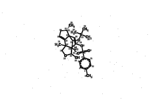 Cc1ccc(S(=O)(=O)OC2=CC34C(=CC[C@@H]3C)C3(C)COC(O)(C4O[Si](C)(C)C)C23C)cc1